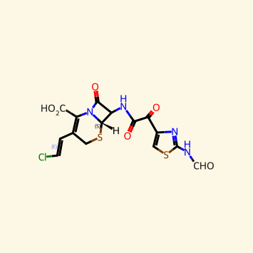 O=CNc1nc(C(=O)C(=O)NC2C(=O)N3C(C(=O)O)=C(/C=C/Cl)CS[C@@H]23)cs1